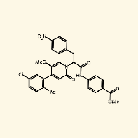 COC(=O)c1ccc(NC(=O)C(Cc2ccc([N+](=O)[O-])cc2)n2cc(OC)c(-c3cc(Cl)ccc3C(C)=O)cc2=O)cc1